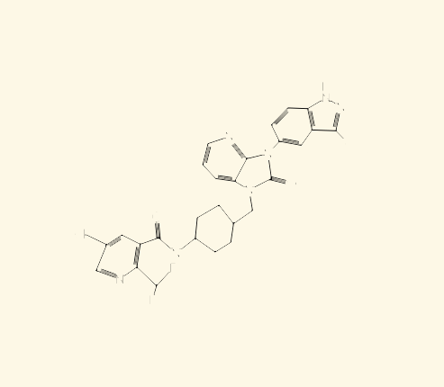 Cc1n[nH]c2ccc(-n3c(=O)n(CC4CCC(NC(=O)c5cc(Cl)cnc5C(F)F)CC4)c4cccnc43)cc12